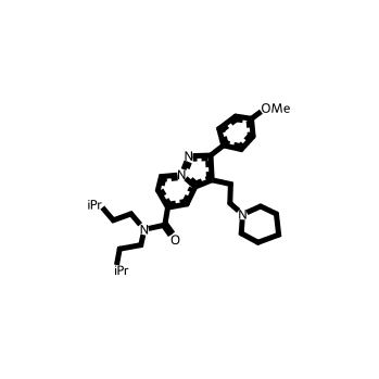 COc1ccc(-c2nn3ccc(C(=O)N(CCC(C)C)CCC(C)C)cc3c2CCN2CCCCC2)cc1